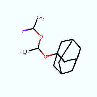 CC(I)OC(C)OC12CC3CC(CC(C3)C1)C2